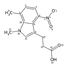 Cc1ccc([N+](=O)[O-])c2c(CCC(=O)O)cn(C)c12